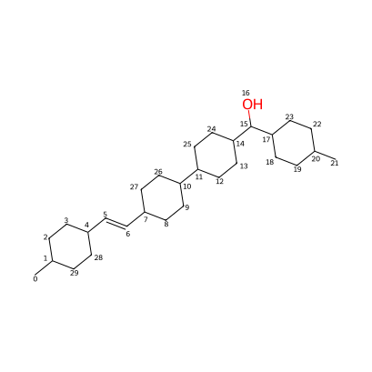 CC1CCC(C=CC2CCC(C3CCC(C(O)C4CCC(C)CC4)CC3)CC2)CC1